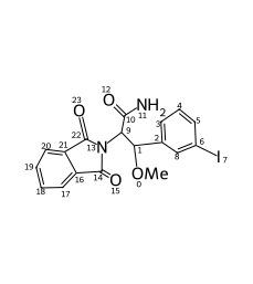 COC(c1cccc(I)c1)C(C(N)=O)N1C(=O)c2ccccc2C1=O